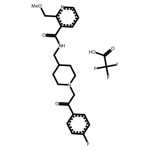 COCc1ncccc1C(=O)NCC1CCN(CC(=O)c2ccc(F)cc2)CC1.O=C(O)C(F)(F)F